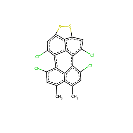 Cc1cc(Cl)c2c3c(Cl)cc4c5c(cc(Cl)c(c6c(Cl)cc(C)c1c26)c53)SS4